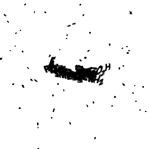 CSc1cc(F)c(F)cc1-c1ccc(OCc2cccc(C(=O)N(CC(=O)O)[C@@H](C)C(N)=O)c2)cc1